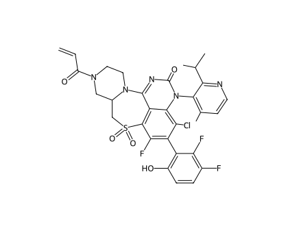 C=CC(=O)N1CCN2c3nc(=O)n(-c4c(C)ccnc4C(C)C)c4c(Cl)c(-c5c(O)ccc(F)c5F)c(F)c(c34)S(=O)(=O)CC2C1